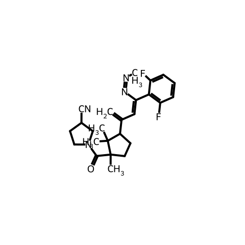 C=C(/C=C(\N=N/C)c1c(F)cccc1F)C1CCC(C)(C(=O)N2CCC(C#N)C2)C1(C)C